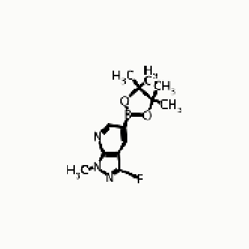 Cn1nc(F)c2cc(B3OC(C)(C)C(C)(C)O3)cnc21